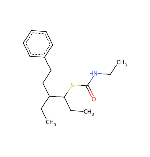 CCNC(=O)SC(CC)C(CC)CCc1ccccc1